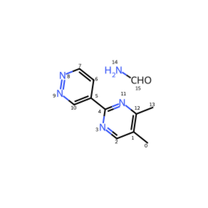 Cc1cnc(-c2ccnnc2)nc1C.NC=O